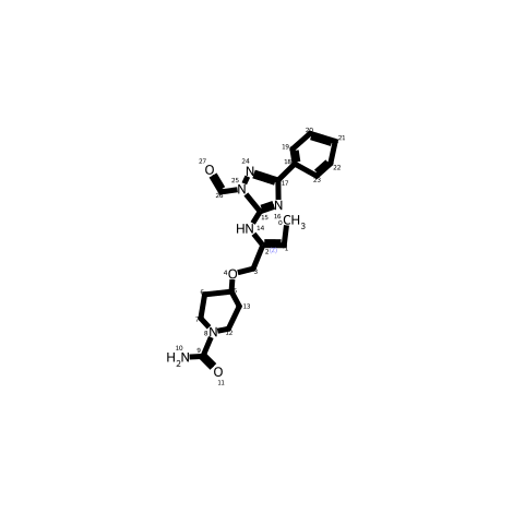 C/C=C(/COC1CCN(C(N)=O)CC1)Nc1nc(-c2ccccc2)nn1C=O